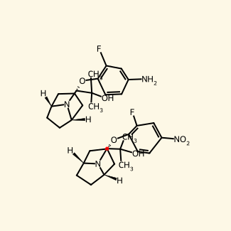 CC(C)(O)CN1[C@@H]2CC[C@H]1C[C@@H](Oc1ccc(N)cc1F)C2.CC(C)(O)CN1[C@@H]2CC[C@H]1C[C@@H](Oc1ccc([N+](=O)[O-])cc1F)C2